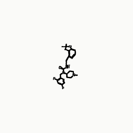 CN1CCC(N(Cc2ccc(F)cc2F)C(=O)NCc2cccc3c2CC(C)(C)O3)CC1